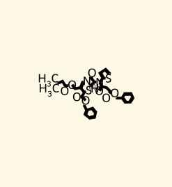 CC(C)CC(=O)OCC1=CN2C(=O)C(N(C(=O)CC(=O)OCc3ccccc3)c3cccs3)[C@H]2SC1C(=O)OCc1ccccc1